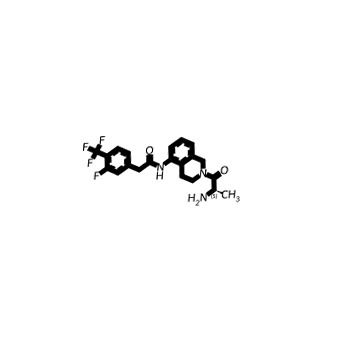 C[C@H](N)C(=O)N1CCc2c(cccc2NC(=O)Cc2ccc(C(F)(F)F)c(F)c2)C1